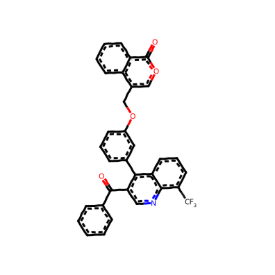 O=C(c1ccccc1)c1cnc2c(C(F)(F)F)cccc2c1-c1cccc(OCc2coc(=O)c3ccccc23)c1